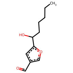 CCCCCC(O)c1cc(C=O)co1